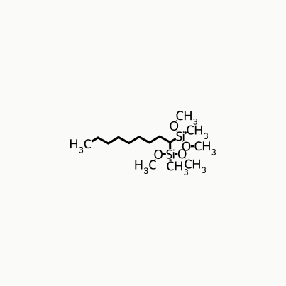 CCCCCCCCC([Si](C)(OC)OC)[Si](C)(OC)OC